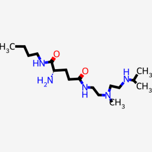 CCCCNC(=O)[C@@H](N)CCC(=O)NCCN(C)CCNC(C)C